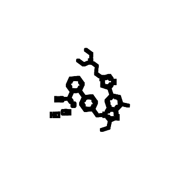 CCc1nc2c(C)cc(-c3cn(CCN(CC)CC)cn3)cc2n1Cc1ccc(-c2ccccc2C(=O)O)cc1.Cl.Cl